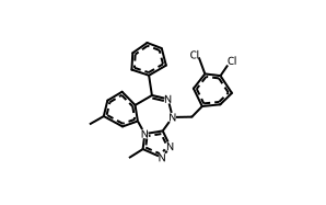 Cc1ccc2c(c1)-n1c(C)nnc1N(Cc1ccc(Cl)c(Cl)c1)N=C2c1ccccc1